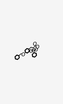 COC(=O)C(Cc1ccc(OCc2ccccc2)cc1)S(=O)(=O)c1ccccc1